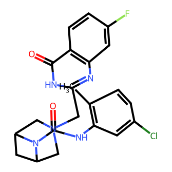 Cc1ccc(Cl)cc1NC(=O)N1C2CC1CN(Cc1nc3cc(F)ccc3c(=O)[nH]1)C2